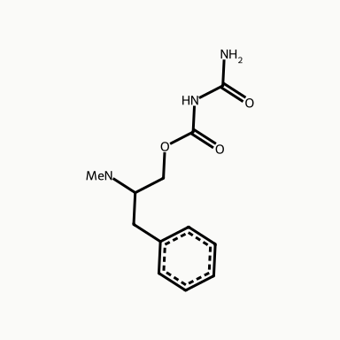 CNC(COC(=O)NC(N)=O)Cc1ccccc1